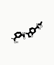 Cc1nc(-c2ccc3c(c2)OCC3NC(=O)c2cccc([C@H](C)O)c2)no1